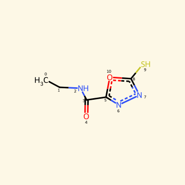 CCNC(=O)c1nnc(S)o1